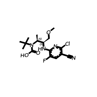 COC[C@@H](Nc1nc(Cl)c(C#N)cc1F)[C@H](C)N(C(=O)O)C(C)(C)C